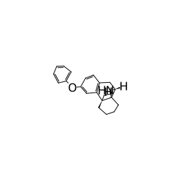 c1ccc(Oc2ccc3c(c2)[C@@]24CCCC[C@H]2[C@@H](C3)NCC4)cc1